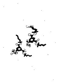 CCCCC(C)(C)OC(=O)c1cc(C(=O)OC(C)(C)CCCC)cc(S(=O)(=O)[O-])c1.CCCCC(C)(C)OC(=O)c1cc(C(=O)OC(C)(C)CCCC)cc(S(=O)(=O)[O-])c1.[Ca+2]